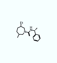 C=C(N[C@@H](C)c1ccccc1)N1CC(C)CCC(CC)C1